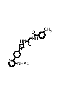 CC(=O)Nc1cccnc1C1CCC(N2CC(NC(=O)CNC(=O)c3cccc(C)c3)C2)CC1